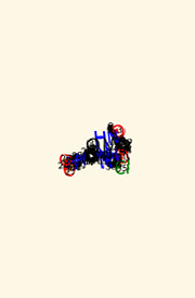 C=CC(=O)Nc1cccc(Oc2nc(Nc3ccc(N4CCN(S(C)(=O)=O)CC4)cc3OC)ncc2Cl)c1